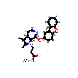 COC(=O)CCn1c(C)c(C)c2ccnc(Oc3ccc4oc5ccccc5c4c3)c21